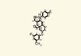 Cc1cc(F)cc(SN2CCC3=CC(Nc4ccc(F)cc4)=C(C=N)CC3(C=O)C2)c1